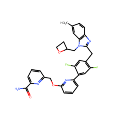 NC(=O)c1cccc(COc2cccc(-c3cc(F)c(Cc4nc5ccc(C(=O)O)cc5n4CC4CCO4)cc3F)n2)n1